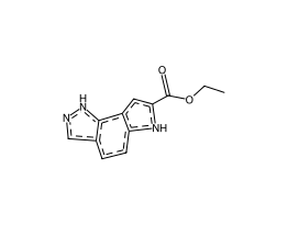 CCOC(=O)c1cc2c(ccc3cn[nH]c32)[nH]1